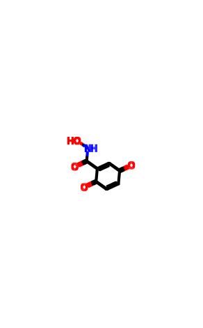 O=C1C=CC(=O)C(C(=O)NO)=C1